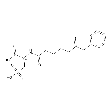 O=C(CCCCC(=O)N[C@@H](CS(=O)(=O)O)C(=O)O)Cc1ccccc1